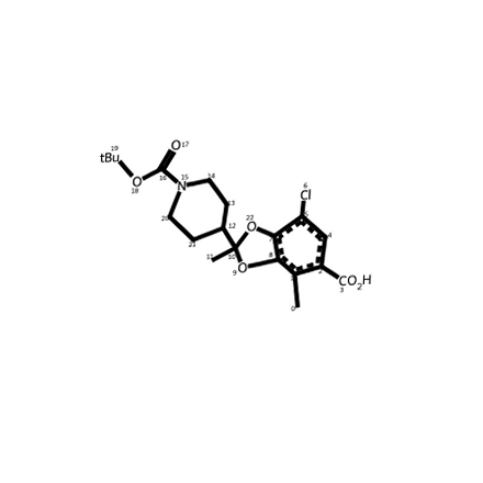 Cc1c(C(=O)O)cc(Cl)c2c1OC(C)(C1CCN(C(=O)OC(C)(C)C)CC1)O2